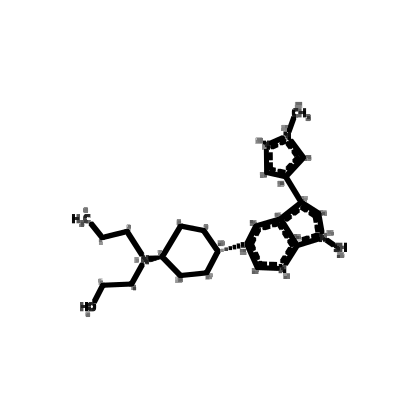 CCCN(CCO)[C@H]1CC[C@H](c2cnc3c(c2)c(-c2cnn(C)c2)cn3S)CC1